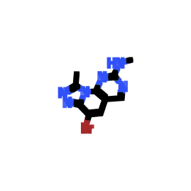 CNc1ncc2cc(Br)c3nnc(C)n3c2n1